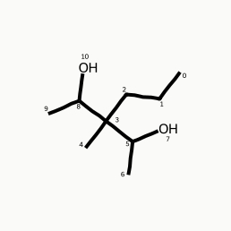 CCCC(C)(C(C)O)C(C)O